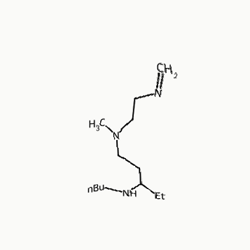 C=NCCN(C)CCC(CC)NCCCC